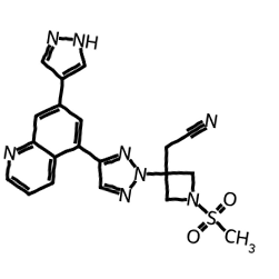 CS(=O)(=O)N1CC(CC#N)(n2ncc(-c3cc(-c4cn[nH]c4)cc4ncccc34)n2)C1